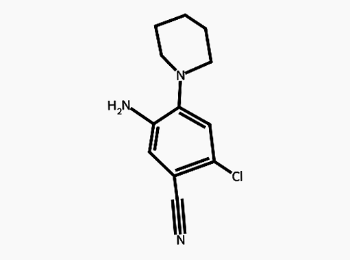 N#Cc1cc(N)c(N2CCCCC2)cc1Cl